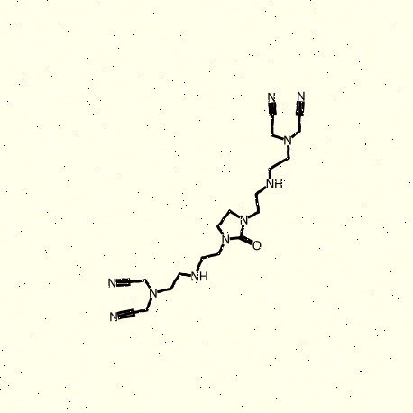 N#CCN(CC#N)CCNCCN1CCN(CCNCCN(CC#N)CC#N)C1=O